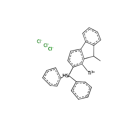 CC1c2ccccc2-c2ccc([SiH](c3ccccc3)c3ccccc3)[c]([Ti+3])c21.[Cl-].[Cl-].[Cl-]